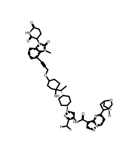 CC([C@H]1CC[C@H](n2cc(NC(=O)c3cnn4ccc(C5CC6C[C@@H]5CO6)nc34)c(C(F)F)n2)CC1)C1(N)CCC(OCC#Cc2cccc3c2n(C)c(=O)n3C2CCC(=O)NC2=O)CC1